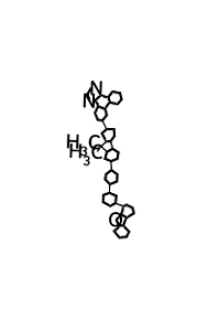 CC1(C)c2cc(-c3ccc(-c4cccc(-c5cccc6c5oc5ccccc56)c4)cc3)ccc2-c2ccc(-c3ccc4c(c3)c3ccccc3c3nccnc43)cc21